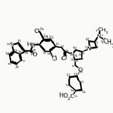 CN(C)C1CN([C@H]2C[C@@H](CO[C@H]3CC[C@H](C(=O)O)CC3)N(C(=O)Cc3cc(Cl)c(NC(=O)c4csc5ccccc45)cc3Cl)C2)C1